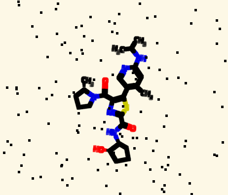 Cc1cc(NC(C)C)ncc1-c1sc(C(=O)N[C@H]2CCC[C@@H]2O)nc1C(=O)N1CCC[C@@H]1C